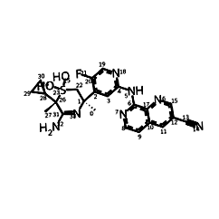 C[C@@]1(c2cc(Nc3nccc4cc(C#N)cnc34)ncc2F)CS(O)(O)[C@@](C)(C2CC2)C(N)=N1